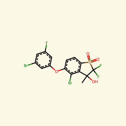 CC1(O)c2c(ccc(Oc3cc(F)cc(Br)c3)c2Br)S(=O)(=O)C1(F)F